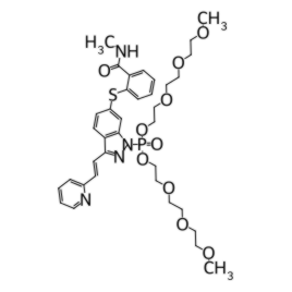 CNC(=O)c1ccccc1Sc1ccc2c(/C=C/c3ccccn3)nn(P(=O)(OCCOCCOCCOC)OCCOCCOCCOC)c2c1